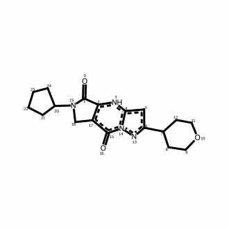 O=C1c2[nH]c3cc(C4CCOCC4)nn3c(=O)c2CN1C1CCCC1